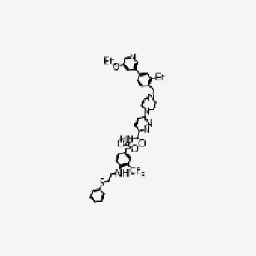 CCOc1cncc(-c2ccc(CN3CCN(c4ccc(C(=O)NS(=O)(=O)c5ccc(NCCSc6ccccc6)c(C(F)(F)F)c5)nn4)CC3)c(CC)c2)c1